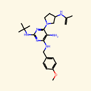 C=C(C)NC1CCN(c2nc(NC(C)(C)C)nc(NCc3ccc(OC)cc3)c2N)C1